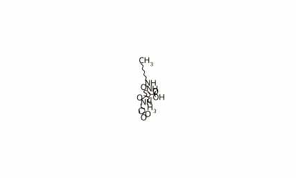 CCCCCCCCNC(=O)Nc1sc(C(=O)NCc2ccc3c(c2)OCO3)c(C)c1C(=O)O